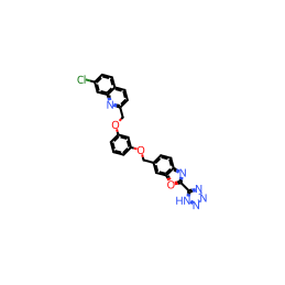 Clc1ccc2ccc(COc3cccc(OCc4ccc5nc(-c6nnn[nH]6)oc5c4)c3)nc2c1